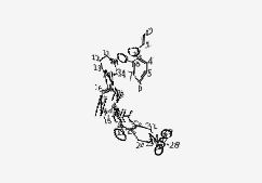 CCOc1ccccc1O[C@@H]1CCCN(c2cncc(NC(=O)C3CCN(S(C)(=O)=O)CC3)n2)C1